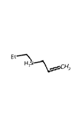 [CH2]CC[SiH2]CC=C